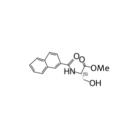 COC(=O)[C@H](CO)NC(=O)c1ccc2ccccc2c1